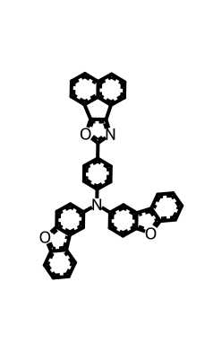 c1cc2c3c(cccc3c1)-c1oc(-c3ccc(N(c4ccc5oc6ccccc6c5c4)c4ccc5oc6ccccc6c5c4)cc3)nc1-2